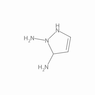 NC1C=CNN1N